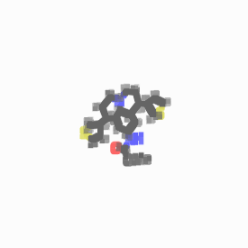 COC(=O)Nc1cc2c3c(c1)C(c1ccsc1)CCN3CCC2c1ccsc1